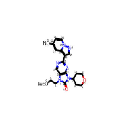 COCCn1c(=O)n(C2CCOCC2)c2nc(-c3cnn4ccc(C#N)cc34)ncc21